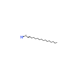 CCCCCCCCCCCCCCC=C[CH]C#N